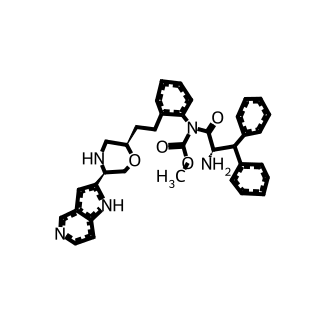 COC(=O)N(C(=O)[C@@H](N)C(c1ccccc1)c1ccccc1)c1ccccc1CC[C@@H]1CN[C@H](c2cc3cnccc3[nH]2)CO1